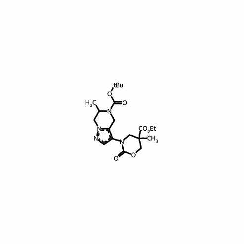 CCOC(=O)C1(C)COC(=O)N(c2cnn3c2CN(C(=O)OC(C)(C)C)C(C)C3)C1